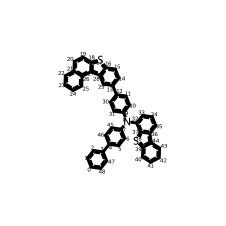 c1ccc(-c2ccc(N(c3ccc(-c4ccc5sc6ccc7ccccc7c6c5c4)cc3)c3cccc4c3sc3ccccc34)cc2)cc1